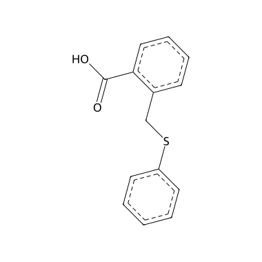 O=C(O)c1ccccc1CSc1ccccc1